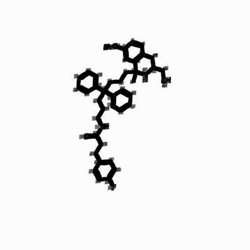 COc1ccc2c(c1)C(C)(CCCC(CCCNC(=O)CCc1ccc(F)cc1)(c1ccccc1)c1ccccc1)NC(CO)C2